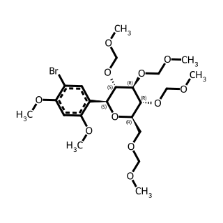 COCOC[C@H]1O[C@@H](c2cc(Br)c(OC)cc2OC)[C@H](OCOC)[C@@H](OCOC)[C@@H]1OCOC